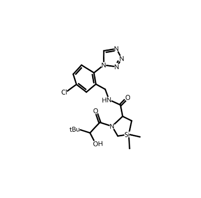 CC(C)(C)C(O)C(=O)N1C[Si](C)(C)CC1C(=O)NCc1cc(Cl)ccc1-n1cnnn1